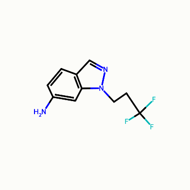 Nc1ccc2cnn(CCC(F)(F)F)c2c1